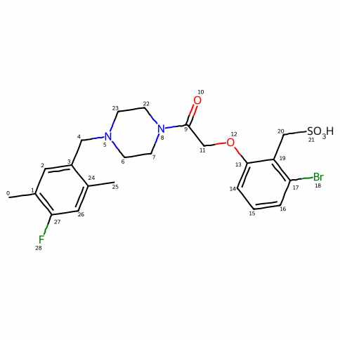 Cc1cc(CN2CCN(C(=O)COc3cccc(Br)c3CS(=O)(=O)O)CC2)c(C)cc1F